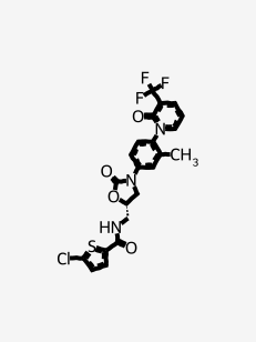 Cc1cc(N2C[C@H](CNC(=O)c3ccc(Cl)s3)OC2=O)ccc1-n1cccc(C(F)(F)F)c1=O